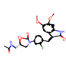 COc1cc2c(cc1OC)C(=Cc1ccc(N3C[C@H](CNC(C)=O)OC3=O)cc1F)C(=O)N2